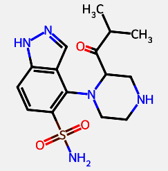 CC(C)C(=O)C1CNCCN1c1c(S(N)(=O)=O)ccc2[nH]ncc12